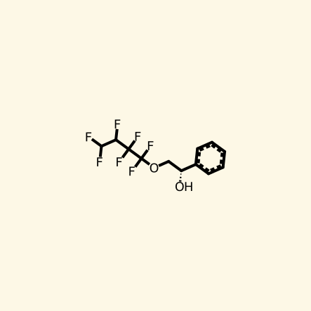 O[C@H](COC(F)(F)C(F)(F)C(F)C(F)F)c1ccccc1